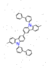 Cc1ccc2c3cc(-c4ccc5c(c4)c4ccc(C)cc4n5-c4cccc(-c5ccccc5)c4)ccc3n(-c3cccc(-c4ccccc4)c3)c2c1